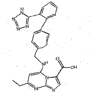 CCc1cc(NCc2ccc(-c3ccccc3-c3nnn[nH]3)cc2)n2c(C(=O)O)cnc2n1